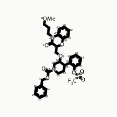 COCCCN1C(=O)C(COC2CN(C(=O)OCc3ccccc3)CCC2c2ccccc2OS(=O)(=O)C(F)(F)F)Oc2ccccc21